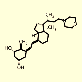 C=C1/C(=C\C=C2/CCC[C@]3(C)[C@@H]([C@H](C)CCN4CCOCC4)CC[C@@H]23)C[C@@H](O)C[C@@H]1O